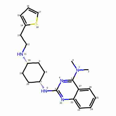 CN(C)c1nc(N[C@H]2CC[C@@H](NCCc3cccs3)CC2)nc2ccccc12